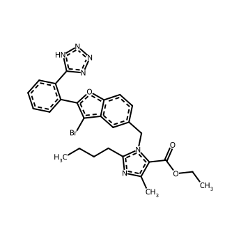 CCCCc1nc(C)c(C(=O)OCC)n1Cc1ccc2oc(-c3ccccc3-c3nnn[nH]3)c(Br)c2c1